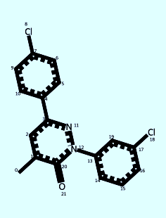 Cc1cc(-c2ccc(Cl)cc2)nn(-c2cccc(Cl)c2)c1=O